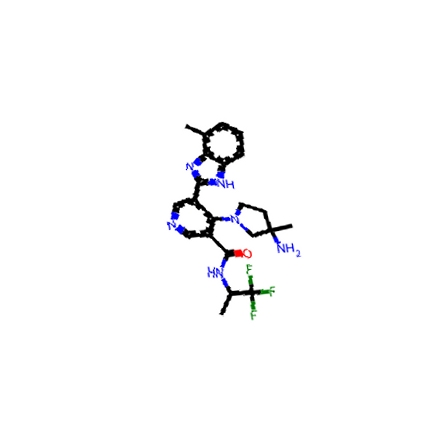 Cc1cccc2[nH]c(-c3cncc(C(=O)NC(C)C(F)(F)F)c3N3CCC(C)(N)C3)nc12